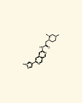 C[C@H]1CN(C)CCN1CC(=O)Nc1cc2cc(-c3cnn(C)c3)ncc2cn1